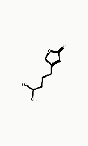 CC(O)CCCC1=CC(=O)OC1